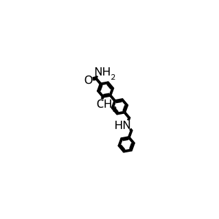 Cc1cc(C(N)=O)ccc1-c1ccc(CNCc2ccccc2)cc1